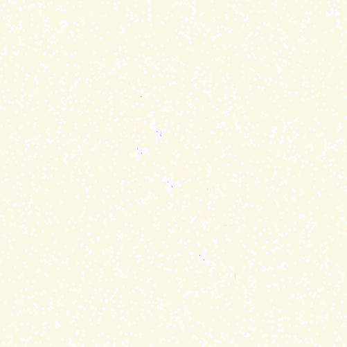 Cc1cnc(-n2cccc(C34CC(O)(C3)C4)c2=O)cc1-n1c(C)cc(OCc2ncc(F)cc2F)c(Cl)c1=O